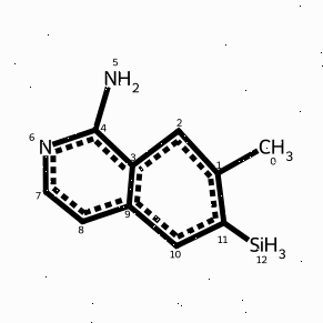 Cc1cc2c(N)nccc2cc1[SiH3]